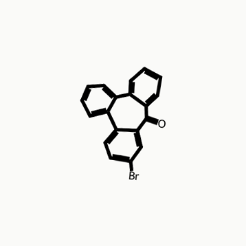 O=c1c2ccccc2c2ccccc2c2ccc(Br)cc12